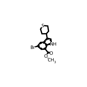 COC(=O)c1cc(Br)cc2c(C3CCSCC3)c[nH]c12